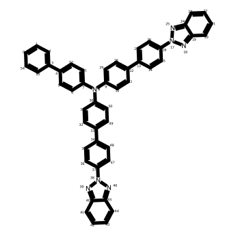 c1ccc(-c2ccc(N(c3ccc(-c4ccc(-n5nc6ccccc6n5)cc4)cc3)c3ccc(-c4ccc(-n5nc6ccccc6n5)cc4)cc3)cc2)cc1